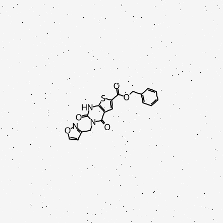 O=C(OCc1ccccc1)c1cc2c(=O)n(Cc3ccon3)c(=O)[nH]c2s1